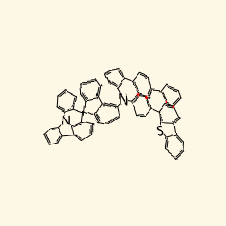 c1ccc(-c2ccc(-c3ccccc3N(c3ccc(-c4cccc5c4sc4ccccc45)cc3)c3cccc4c3-c3ccccc3C43c4ccccc4-n4c5ccccc5c5cccc3c54)cc2)cc1